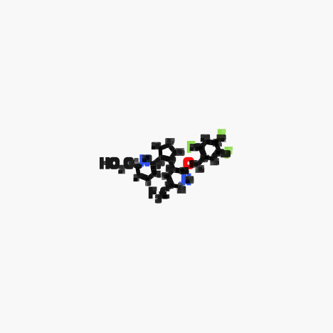 O=C(O)c1cccc(C2=C(c3cc(C(F)(F)F)cnc3OCc3cc(F)c(F)cc3F)CCC2)n1